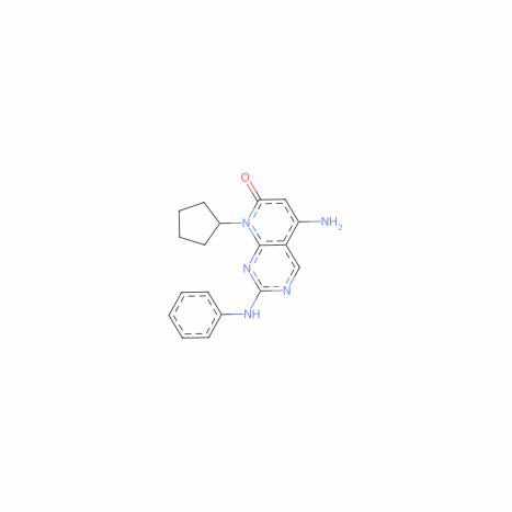 Nc1cc(=O)n(C2CCCC2)c2nc(Nc3ccccc3)ncc12